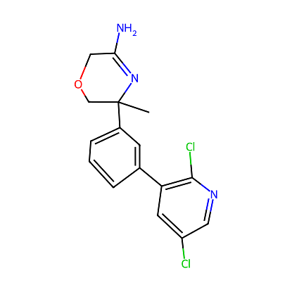 CC1(c2cccc(-c3cc(Cl)cnc3Cl)c2)COCC(N)=N1